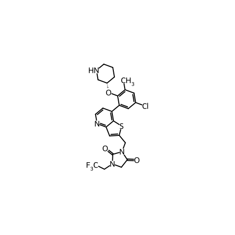 Cc1cc(Cl)cc(-c2ccnc3cc(CN4C(=O)CN(CC(F)(F)F)C4=O)sc23)c1O[C@H]1CCCNC1